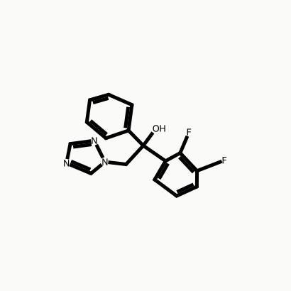 OC(Cn1cncn1)(c1ccccc1)c1cccc(F)c1F